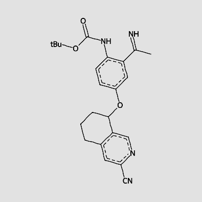 CC(=N)c1cc(OC2CCCc3cc(C#N)ncc32)ccc1NC(=O)OC(C)(C)C